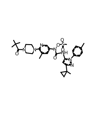 Cc1ccc(-n2nc(C3(C)CC3)cc2NC(=O)N(OS(C)(=O)=O)c2cnc(N3CCN(C(=O)C(C)(C)C)CC3)c(C)c2)cc1